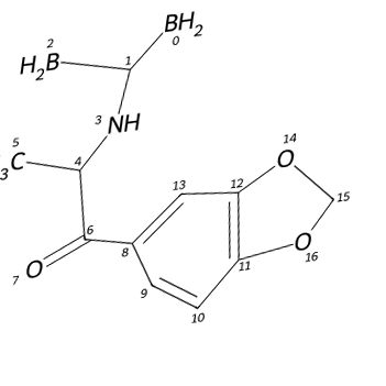 BC(B)NC(C)C(=O)c1ccc2c(c1)OCO2